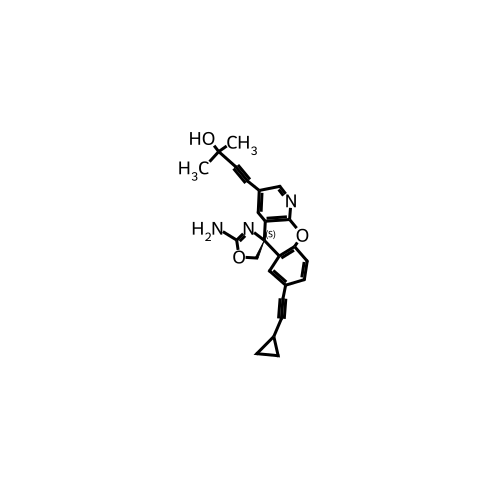 CC(C)(O)C#Cc1cnc2c(c1)[C@]1(COC(N)=N1)c1cc(C#CC3CC3)ccc1O2